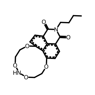 CCCCN1C(=O)c2ccc3c4c(ccc(c24)C1=O)OCCONOCCO3